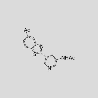 CC(=O)Nc1cncc(-c2nc3cc(C(C)=O)ccc3s2)c1